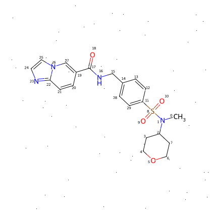 CN(C1CCOCC1)S(=O)(=O)c1ccc(CNC(=O)c2ccc3nccn3c2)cc1